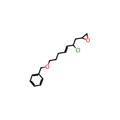 ClC(C=CCCCOCc1ccccc1)CC1CO1